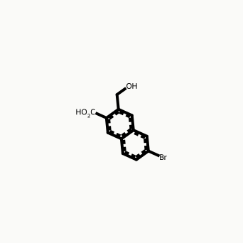 O=C(O)c1cc2ccc(Br)cc2cc1CO